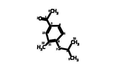 CC(=O)c1ccc(SC(C)C)c(C)c1